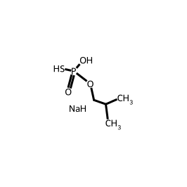 CC(C)COP(=O)(O)S.[NaH]